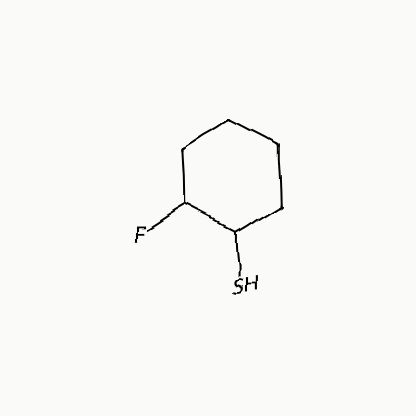 FC1CCCCC1S